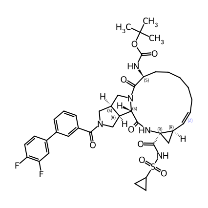 CC(C)(C)OC(=O)N[C@H]1CCCCC/C=C\[C@H]2C[C@@]2(C(=O)NS(=O)(=O)C2CC2)NC(=O)[C@@H]2[C@H]3CN(C(=O)c4cccc(-c5ccc(F)c(F)c5)c4)C[C@H]3CN2C1=O